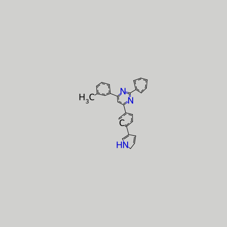 Cc1cccc(-c2cc(-c3ccc(C4=CNCC=C4)cc3)nc(-c3ccccc3)n2)c1